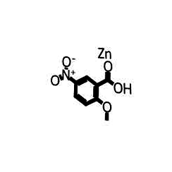 COc1ccc([N+](=O)[O-])cc1C(=O)O.[Zn]